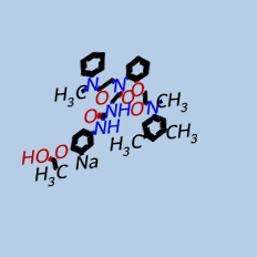 CCC(=O)O.Cc1cc(C)cc(N(C)C(=O)COc2ccccc2N(CC(=O)N(C)c2ccccc2)C(=O)CNC(=O)Nc2ccc[c]([Na])c2)c1